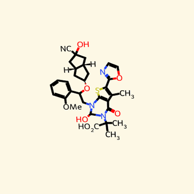 COc1ccccc1C(CN1c2sc(-c3ncco3)c(C)c2C(=O)N(C(C)(C)C(=O)O)C1O)O[C@@H]1C[C@@H]2CC(O)(C#N)C[C@@H]2C1